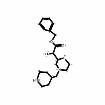 NC(C(=O)OCc1ccccc1)C1CN(CC2CCNCC2)CCO1